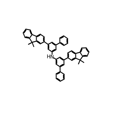 CC1(C)c2ccccc2-c2ccc(-c3cc(Nc4cc(-c5ccccc5)cc(-c5ccc6c(c5)C(C)(C)c5ccccc5-6)c4)cc(-c4ccccc4)c3)cc21